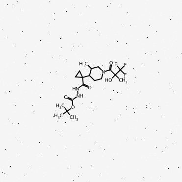 CC1CN(C(=O)C(C)(O)C(F)(F)F)CCC1C1(C(=O)NNC(=O)OC(C)(C)C)CC1